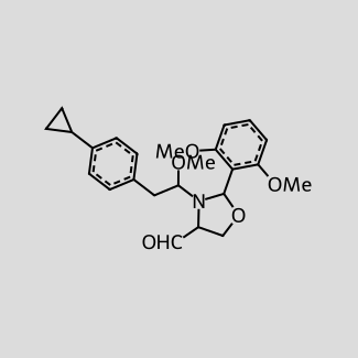 COc1cccc(OC)c1C1OCC(C=O)N1C(Cc1ccc(C2CC2)cc1)OC